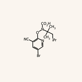 CC(C)CC(C)(C)N(Oc1ncc(Br)cc1C#N)C(=O)O